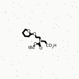 CC(C)(C)OC(=O)N(CCOC1CCCCO1)CC(=O)O